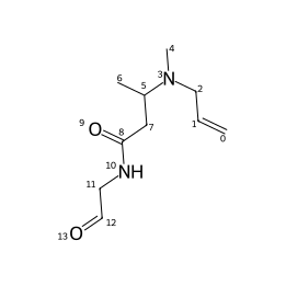 C=CCN(C)C(C)CC(=O)NCC=O